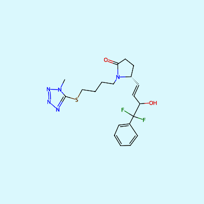 Cn1nnnc1SCCCCN1C(=O)CC[C@@H]1C=CC(O)C(F)(F)c1ccccc1